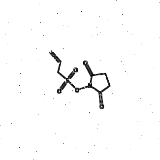 C=CCS(=O)(=O)ON1C(=O)CCC1=O